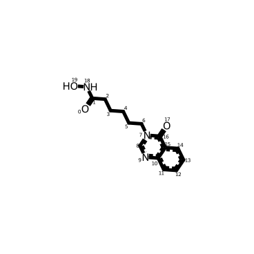 O=C(CCCCCn1cnc2ccccc2c1=O)NO